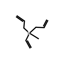 C=CC[Si](C)(C=C)CC=C